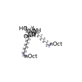 CCCCCCCC/C=C\CCCCCCCC(=O)NC(C)[N+](C)(CCO)C(C)NC(=O)CCCCCCC/C=C\CCCCCCCC